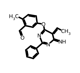 C/C=C1\C(=N)N=C(c2ccccc2)N=C1Oc1ccc(C)c(C=O)c1